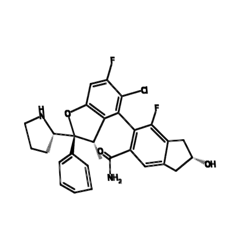 C[C@H]1c2c(cc(F)c(Cl)c2-c2c(C(N)=O)cc3c(c2F)C[C@H](O)C3)O[C@@]1(c1ccccc1)[C@@H]1CCCN1